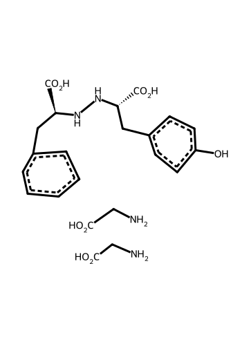 NCC(=O)O.NCC(=O)O.O=C(O)[C@H](Cc1ccccc1)NN[C@@H](Cc1ccc(O)cc1)C(=O)O